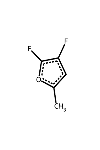 Cc1cc(F)c(F)o1